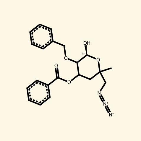 CC1(CN=[N+]=[N-])CC(OC(=O)c2ccccc2)C(OCc2ccccc2)[C@@H](O)O1